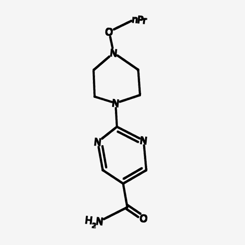 CCCON1CCN(c2ncc(C(N)=O)cn2)CC1